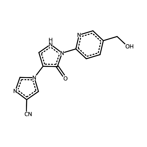 N#Cc1cn(-c2c[nH]n(-c3ccc(CO)cn3)c2=O)cn1